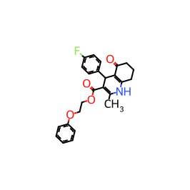 CC1=C(C(=O)OCCOc2ccccc2)C(c2ccc(F)cc2)C2=C(CCCC2=O)N1